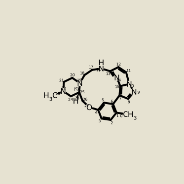 Cc1ccc2cc1-c1cnn3ccc(nc13)NCCN1CCN(C)C[C@H]1CO2